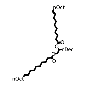 CCCCCCCC/C=C/CCCCCCCC(=O)OCC(CCCCCCCCCC)OC(=O)CCCCCCC/C=C/CCCCCCCC